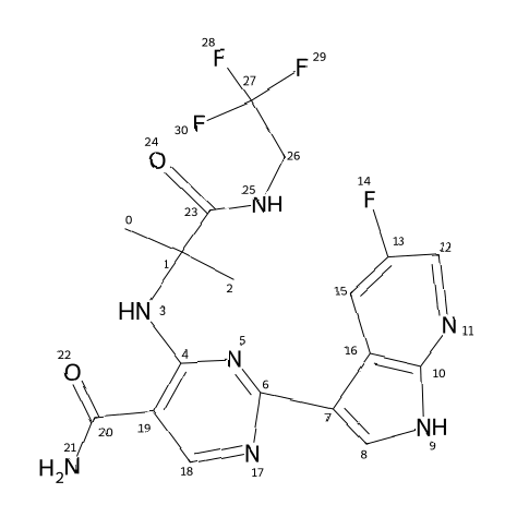 CC(C)(Nc1nc(-c2c[nH]c3ncc(F)cc23)ncc1C(N)=O)C(=O)NCC(F)(F)F